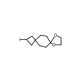 IC1CC2(CCC3(CC2)OCCO3)C1